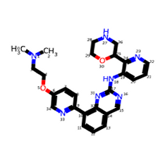 CN(C)CCOc1ccc(-c2cccc3cnc(Nc4cccnc4C4CNCCO4)nc23)nc1